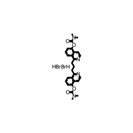 Br.Br.CN(C)C(=O)Oc1cccc2c(CCCc3nccc4c(OC(=O)N(C)C)cccc34)nccc12